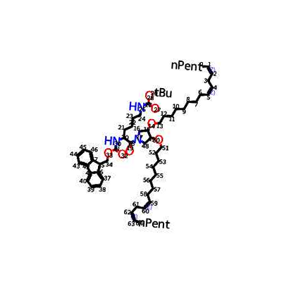 CCCCC/C=C\C/C=C\CCCCCCCCOC1CN(C(=O)C(CCCCNC(=O)OC(C)(C)C)NC(=O)OCC2c3ccccc3-c3ccccc32)CC1OCCCCCCCC/C=C\C/C=C\CCCCC